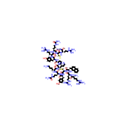 N=C(N)NCCC[C@H](NC(=O)[C@H](CS)NC(=O)[C@H](CCCNC(N)=O)NC(=O)[C@H](CCCNC(=N)N)NC(=O)[C@H](Cc1ccc(O)cc1)NC(=O)[C@@H]1CCCN1C(=O)[C@@H](CCCCN)NC(=O)[C@H](CCCCN)NC(=O)[C@H](CCCNC(N)=O)NC(=O)[C@H](Cc1ccc(O)cc1)NC(=O)[C@H](CS)NC(=O)[C@H](Cc1ccc2ccccc2c1)NC(=O)[C@H](CCCNC(=N)N)NC(=O)[C@@H](N)CCCNC(=N)N)C(N)=O